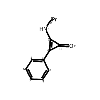 CC(C)Nc1c(-c2ccccc2)c1=O